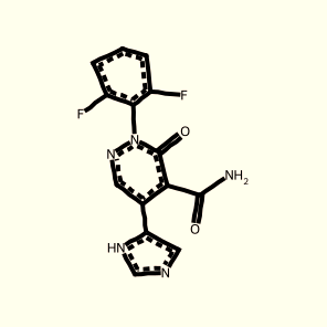 NC(=O)c1c(-c2cnc[nH]2)cnn(-c2c(F)cccc2F)c1=O